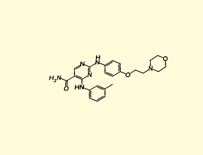 Cc1cccc(Nc2nc(Nc3ccc(OCCN4CCOCC4)cc3)ncc2C(N)=O)c1